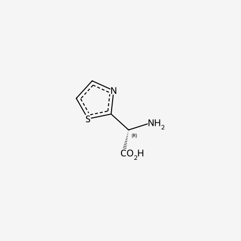 N[C@H](C(=O)O)c1nccs1